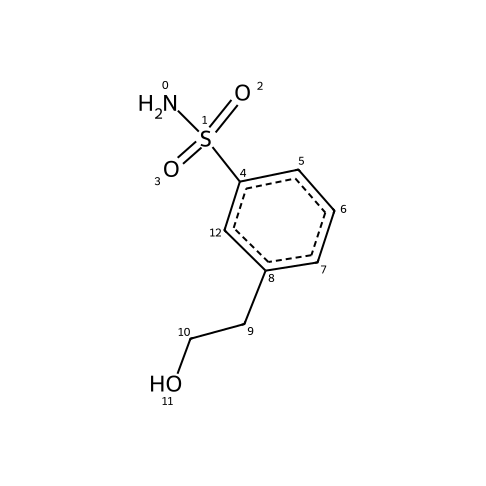 NS(=O)(=O)c1cccc(CCO)c1